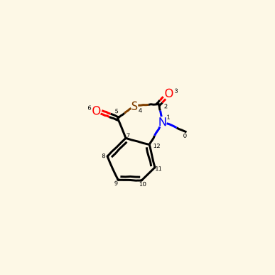 Cn1c(=O)sc(=O)c2ccccc21